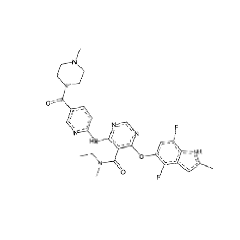 CCN(C)C(=O)c1c(Nc2ccc(C(=O)N3CCN(C)CC3)cn2)ncnc1Oc1cc(F)c2[nH]c(C)cc2c1F